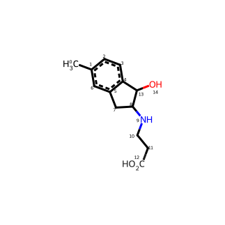 Cc1ccc2c(c1)CC(NCCC(=O)O)C2O